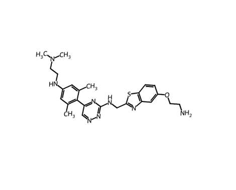 Cc1cc(NCCN(C)C)cc(C)c1-c1cnnc(NCc2nc3cc(OCCN)ccc3s2)n1